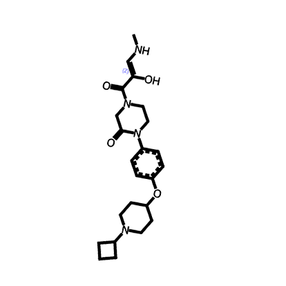 CN/C=C(\O)C(=O)N1CCN(c2ccc(OC3CCN(C4CCC4)CC3)cc2)C(=O)C1